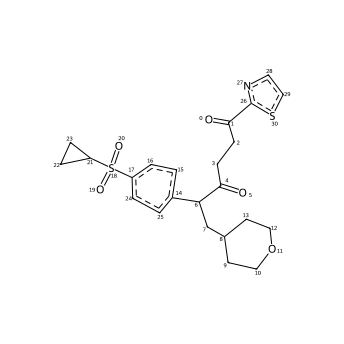 O=C(CCC(=O)C(CC1CCOCC1)c1ccc(S(=O)(=O)C2CC2)cc1)c1nccs1